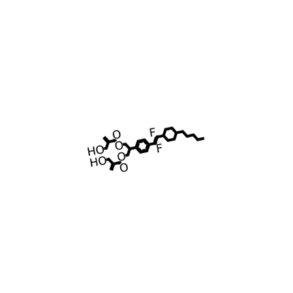 C=C(CO)C(=O)OCC(COC(=O)C(=C)CO)c1ccc(/C(F)=C(\F)C2CCC(CCCCC)CC2)cc1